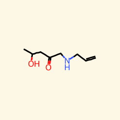 C=CCNCC(=O)CC(C)O